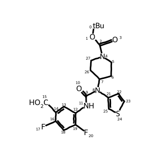 CC(C)(C)OC(=O)N1CCC(N(C(=O)Nc2cc(C(=O)O)c(F)cc2F)c2ccsc2)CC1